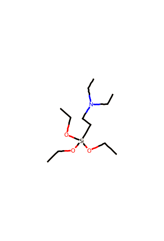 CCO[Si](CCN(CC)CC)(OCC)OCC